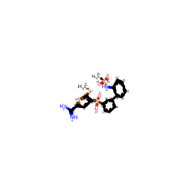 CSc1sc(C(=N)N)cc1S(=O)(=O)c1cccc(-c2ccccc2NS(C)(=O)=O)c1